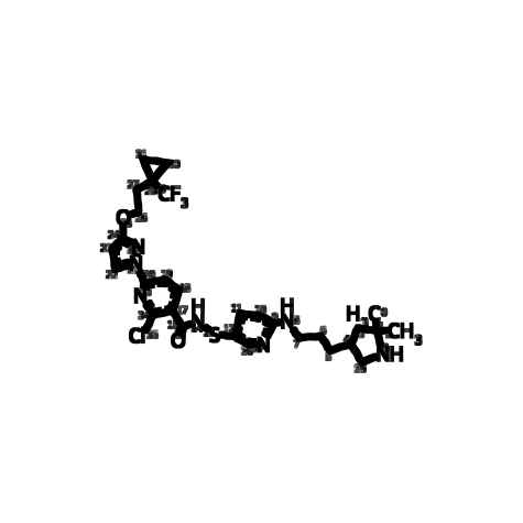 CC1(C)CC(CCCNc2ccc(SNC(=O)c3ccc(-n4ccc(OCCC5(C(F)(F)F)CC5)n4)nc3Cl)cn2)CN1